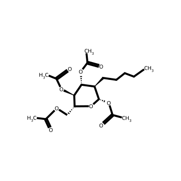 CCCCC[C@H]1[C@H](OC(C)=O)O[C@H](COC(C)=O)[C@@H](OC(C)=O)[C@@H]1OC(C)=O